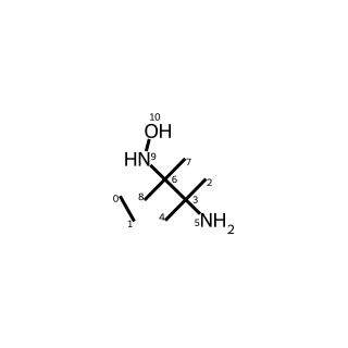 CC.CC(C)(N)C(C)(C)NO